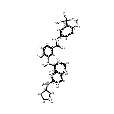 COc1ccc(NC(=O)c2ccc(C)c(N(C)c3ncnc4cnc(NC5CCOC5)nc34)c2)cc1C(F)(F)F